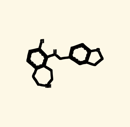 Clc1ccc2c(c1NCc1ccc3c(c1)CCO3)CCNCC2